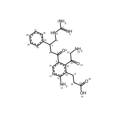 N=C(N)NCC(CC(=O)c1cnc(N)c(CCC(=O)O)c1C(=O)CN)c1ccccc1